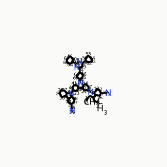 C=Cc1c(/C=C\C)c2cc(C#N)ccc2n1-c1ccc2c(c1)c1cc(-n3c4ccccc4c4cc(C#N)ccc43)ccc1n2-c1ccc(-c2cc(-c3ccccc3)nc(-c3ccccc3)n2)cc1